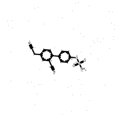 N#CCc1ccc(-c2ccc(OS(N)(=O)=O)cc2)c(C#N)c1